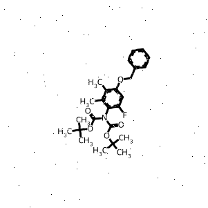 Cc1c(OCc2ccccc2)cc(F)c(N(C(=O)OC(C)(C)C)C(=O)OC(C)(C)C)c1C